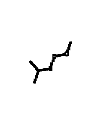 COOOC(C)C